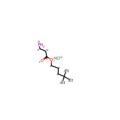 CCC(CC)(CC)CCCOC(=O)CCP.Cl